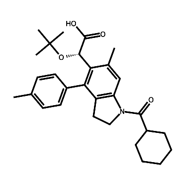 Cc1ccc(-c2c3c(cc(C)c2[C@H](OC(C)(C)C)C(=O)O)N(C(=O)C2CCCCC2)CC3)cc1